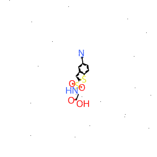 N#Cc1ccc2sc(S(=O)(=O)NCC(=O)O)cc2c1